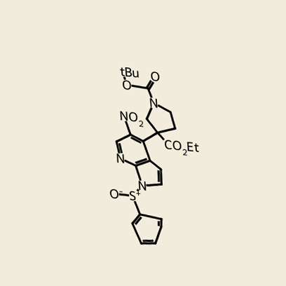 CCOC(=O)C1(c2c([N+](=O)[O-])cnc3c2ccn3[S+]([O-])c2ccccc2)CCN(C(=O)OC(C)(C)C)C1